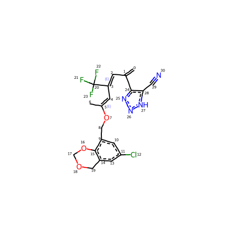 C=C(/C=C(\C=C(/C)OCc1cc(Cl)cc2c1OCOC2)C(F)(F)F)c1nn[nH]c1C#N